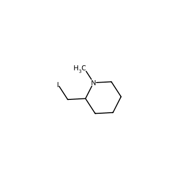 CN1CCCCC1CI